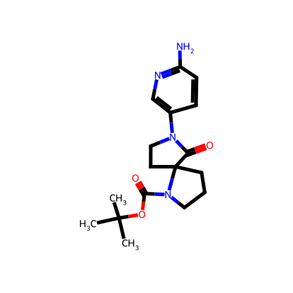 CC(C)(C)OC(=O)N1CCCC12CCN(c1ccc(N)nc1)C2=O